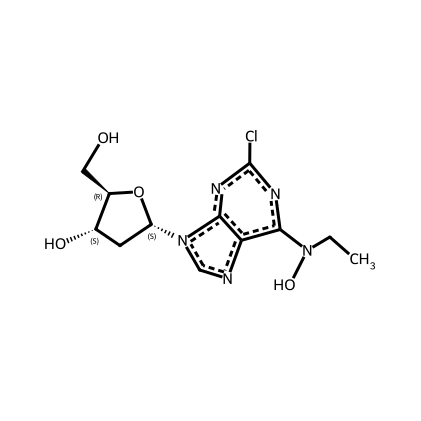 CCN(O)c1nc(Cl)nc2c1ncn2[C@@H]1C[C@H](O)[C@@H](CO)O1